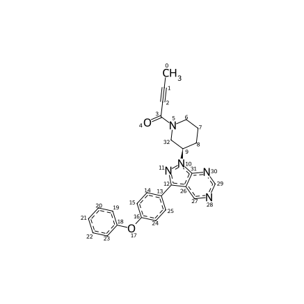 CC#CC(=O)N1CCC[C@@H](n2nc(-c3ccc(Oc4ccccc4)cc3)c3cncnc32)C1